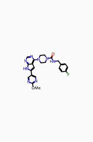 COc1ncc(-c2cc3c(N4CCN(C(=O)NCc5ccc(F)cc5)CC4)ncnc3[nH]2)cn1